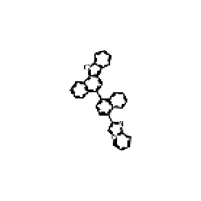 c1ccc2c(c1)oc1c3ccccc3c(-c3ccc(-c4cn5ccccc5n4)c4ccccc34)cc21